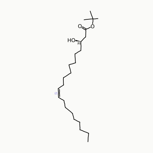 CCCCCCCC/C=C\CCCCCCC[C@@H](O)CC(=O)OC(C)(C)C